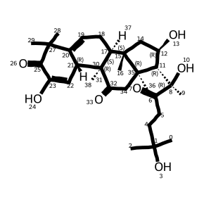 CC(C)(O)CCC(=O)[C@](C)(O)[C@H]1[C@H](O)C[C@@]2(C)[C@@H]3CC=C4[C@@H](C=C(O)C(=O)C4(C)C)[C@]3(C)C(=O)C[C@]12C